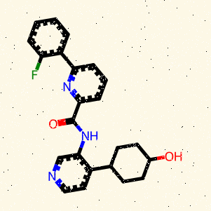 O=C(Nc1cnccc1C1CCC(O)CC1)c1cccc(-c2ccccc2F)n1